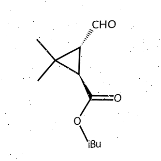 CCC(C)OC(=O)[C@@H]1[C@@H](C=O)C1(C)C